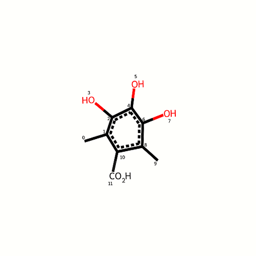 Cc1c(O)c(O)c(O)c(C)c1C(=O)O